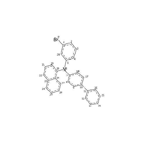 Brc1cccc(N(c2ccc(-c3ccccc3)cc2)c2cccc3ccccc23)c1